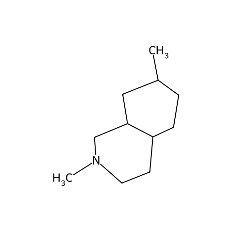 CC1CCC2CCN(C)CC2C1